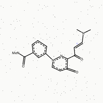 CNC(=O)c1cccc(-n2ccc(=O)c(C(=O)/C=C/N(C)C)n2)c1